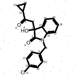 O=C(CC1(O)C(=O)N(Cc2ccc(Cl)cc2)c2ccccc21)C1CC1